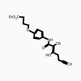 C#CCC/C(O)=C(\C#N)C(=O)Nc1ccc(OCCCC(=O)OCC)cc1